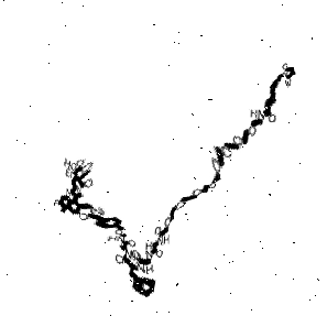 CC[C@@]1(O)C(=O)OCc2c1cc1n(c2=O)Cc2c-1nc1cc(F)c(C)c3c1c2C(/C=N\C(=O)c1ccc(COCNC(=O)CNC(=O)[C@H](Cc2ccccc2)NC(=O)CNC(=O)CNC(=O)COCCOCCOCCOCCOCCOCCOCCOCCNC(=O)CCCCCN2C(=O)C=CC2=O)cc1)CC3